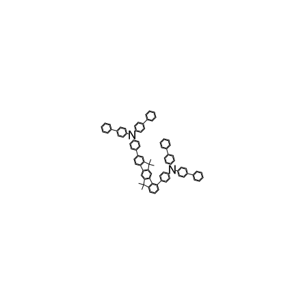 CC1(C)c2cc(-c3ccc(N(c4ccc(-c5ccccc5)cc4)c4ccc(-c5ccccc5)cc4)cc3)ccc2-c2cc3c(cc21)-c1c(-c2ccc(N(c4ccc(-c5ccccc5)cc4)c4ccc(-c5ccccc5)cc4)cc2)cccc1C3(C)C